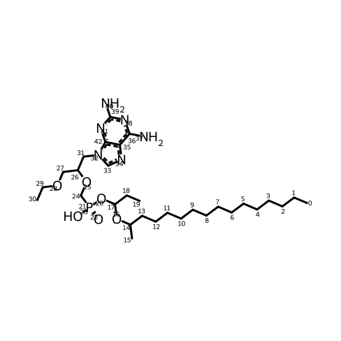 CCCCCCCCCCCCCCC(C)OC(CC)OP(=O)(O)COC(COCC)Cn1cnc2c(N)nc(N)nc21